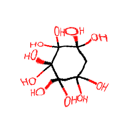 OC1(O)CC(O)(O)C(O)(O)C(O)(O)C1(O)O